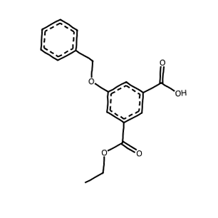 CCOC(=O)c1cc(OCc2ccccc2)cc(C(=O)O)c1